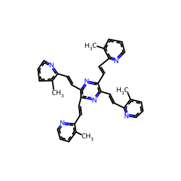 Cc1cccnc1C=Cc1nc(C=Cc2ncccc2C)c(C=Cc2ncccc2C)nc1C=Cc1ncccc1C